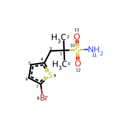 CC(C)(Cc1ccc(Br)s1)S(N)(=O)=O